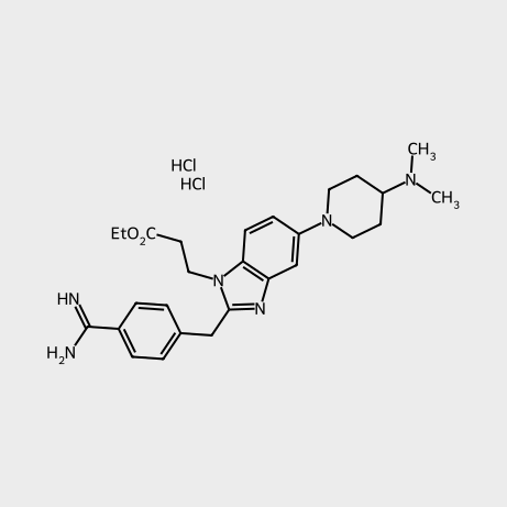 CCOC(=O)CCn1c(Cc2ccc(C(=N)N)cc2)nc2cc(N3CCC(N(C)C)CC3)ccc21.Cl.Cl